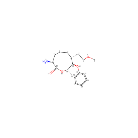 COCC[C@H]1CCC[C@H](N)C(=O)O[C@@H](C)[C@@H]1Oc1ccccc1